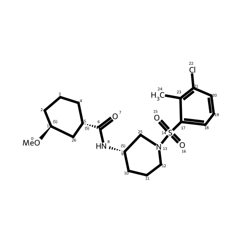 CO[C@H]1CCC[C@H](C(=O)N[C@H]2CCCN(S(=O)(=O)c3cccc(Cl)c3C)C2)C1